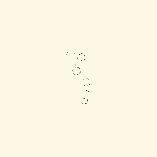 COc1ccccc1Oc1cccc(CN2CCN(C(=O)Cc3cccs3)CC2)c1